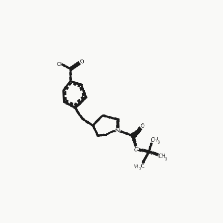 CC(C)(C)OC(=O)N1CCC(Cc2ccc(C(=O)Cl)cc2)CC1